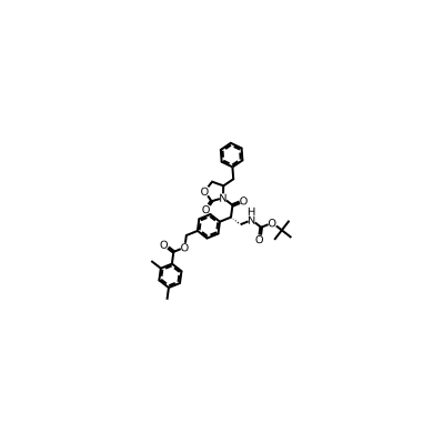 Cc1ccc(C(=O)OCc2ccc([C@@H](CNC(=O)OC(C)(C)C)C(=O)N3C(=O)OCC3Cc3ccccc3)cc2)c(C)c1